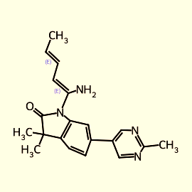 C/C=C/C=C(\N)N1C(=O)C(C)(C)c2ccc(-c3cnc(C)nc3)cc21